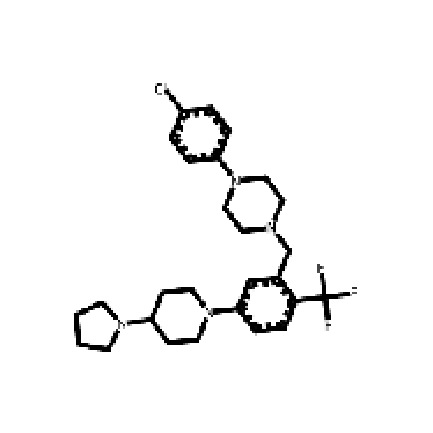 FC(F)(F)c1ccc(N2CCC(N3CCCC3)CC2)cc1CN1CCN(c2ccc(Cl)cc2)CC1